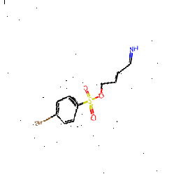 N=CCCCOS(=O)(=O)c1ccc(Br)cc1